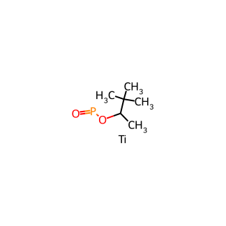 CC(OP=O)C(C)(C)C.[Ti]